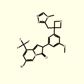 COc1cc(C2C=C3C(C(F)(F)F)=CC(Br)=CN3C2=O)cc(C2(Cc3nncn3C)COC2)c1